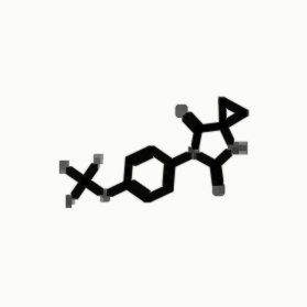 O=C1NC2(CC2)C(=O)N1c1ccc(SC(F)(F)F)cc1